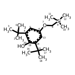 CC(C)(C)c1cc(OC[Si](C)(C)C)cc(C(C)(C)C)c1O